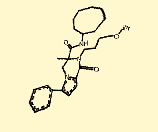 CC(C)OCCCN1C(=O)c2ccc(-c3ccccc3)n2CC1(C)C(=O)NC1CCCCCCC1